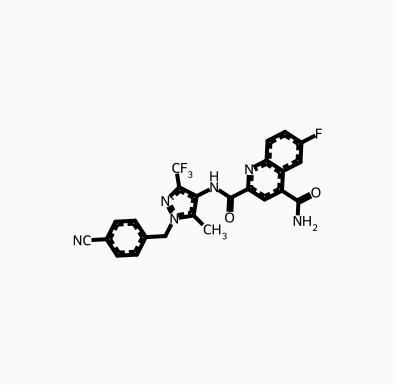 Cc1c(NC(=O)c2cc(C(N)=O)c3cc(F)ccc3n2)c(C(F)(F)F)nn1Cc1ccc(C#N)cc1